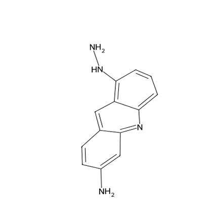 NNc1cccc2nc3cc(N)ccc3cc12